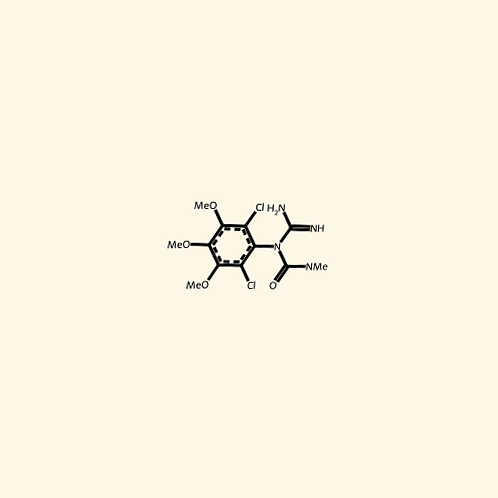 CNC(=O)N(C(=N)N)c1c(Cl)c(OC)c(OC)c(OC)c1Cl